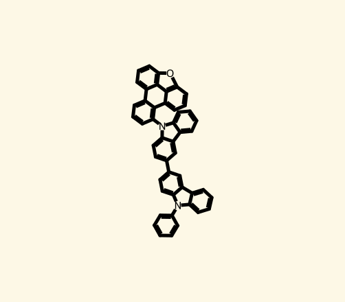 c1ccc(-n2c3ccccc3c3cc(-c4ccc5c(c4)c4ccccc4n5-c4cccc5c6cccc7oc8cccc(c45)c8c76)ccc32)cc1